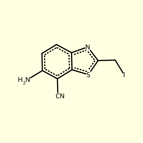 N#Cc1c(N)ccc2nc(CI)sc12